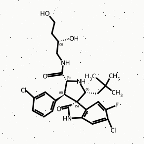 CC(C)(C)C[C@H]1N[C@@H](C(=O)NC[C@@H](O)CCO)[C@H](c2cccc(Cl)c2)[C@@]12C(=O)Nc1cc(Cl)c(F)cc12